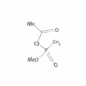 COP(C)(=O)OC(=O)C(C)(C)C